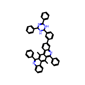 Cc1c2c(-c3ccccc3)nc3cc(-c4cccc(C5NC(c6ccccc6)=NC(c6ccccc6)N5)c4)ccc3c2c(C)c2c(-c3ccccc3)nc3ccccc3c12